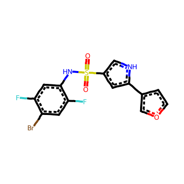 O=S(=O)(Nc1cc(F)c(Br)cc1F)c1c[nH]c(-c2ccoc2)c1